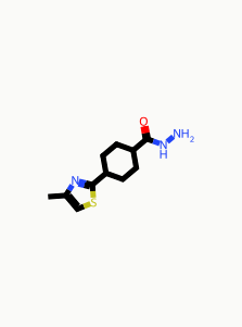 Cc1csc(C2CCC(C(=O)NN)CC2)n1